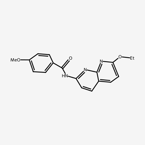 CCOc1ccc2ccc(NC(=O)c3ccc(OC)cc3)nc2n1